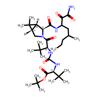 CCCC(C)CC(NC(=O)[C@@H]1[C@@H]2[C@H](CN1C(=O)[C@@H](NC(=O)N[C@H](C(=O)OC(C)(C)C)C(C)(C)C)C(C)(C)C)C2(C)C)C(=O)C(N)=O